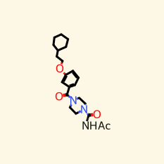 CC(=O)NC(=O)N1CCN(C(=O)c2cccc(OCCC3CCCCC3)c2)CC1